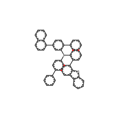 c1ccc(-c2ccc(N(c3cc(-c4cccc5ccccc45)ccc3-c3ccccc3)c3ccccc3-c3cccc4c3sc3ccccc34)cc2)cc1